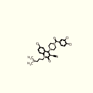 CN(C)CCCn1c(=O)c(C#N)c(N2CCN(C(=O)c3ccc(Cl)c(Cl)c3)CC2)c2cc(Cl)ccc21